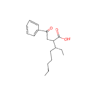 CCCCCC(CC)C(CC(=O)c1ccccc1)C(=O)O